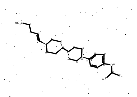 O=C(O)CCC=C[C@H]1CC[C@H]([C@H]2CC[C@H](c3ccc(OC(F)F)cc3)CC2)CC1